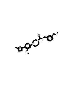 COCc1cccc(CNC(=O)N2CCCN(c3ccc(-c4cnc(C)o4)c(OC)c3)CC2)c1